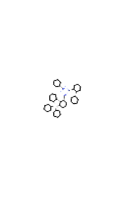 c1ccc(-c2nc(-c3ccccc3-c3ccccc3)nc(-c3cccc4c3-c3ccccc3[Si]4(c3ccccc3)c3ccccc3)n2)cc1